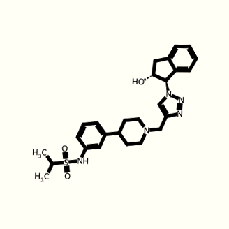 CC(C)S(=O)(=O)Nc1cccc(C2CCN(Cc3cn([C@@H]4c5ccccc5C[C@H]4O)nn3)CC2)c1